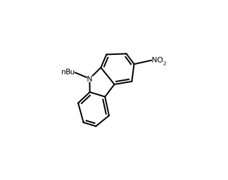 CCCCn1c2ccccc2c2cc([N+](=O)[O-])ccc21